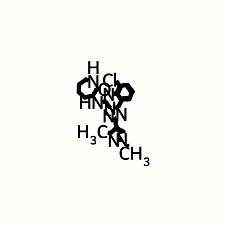 CCn1cc(-c2nc3c4cccc(Cl)c4nc(N[C@@H]4CCCCNC4=O)n3n2)c(C)n1